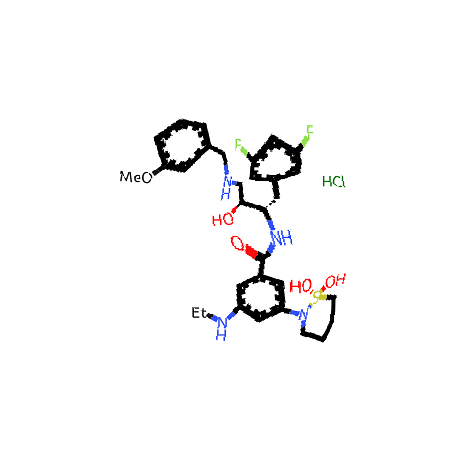 CCNc1cc(C(=O)N[C@@H](Cc2cc(F)cc(F)c2)[C@@H](O)CNCc2cccc(OC)c2)cc(N2CCCCS2(O)O)c1.Cl